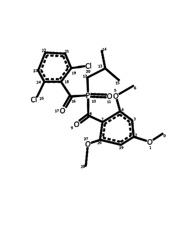 COc1cc(OC)c(C(=O)P(=O)(CC(C)C)C(=O)c2c(Cl)cccc2Cl)c(OC)c1